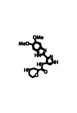 COc1cc2nc(-c3n[nH]cc3NC(=O)C3CNCCO3)[nH]c2cc1OC